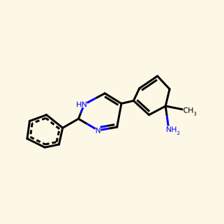 CC1(N)C=C(C2=CNC(c3ccccc3)N=C2)C=CC1